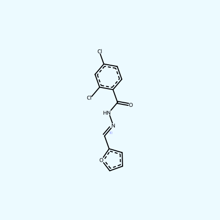 O=C(N/N=C/c1ccco1)c1ccc(Cl)cc1Cl